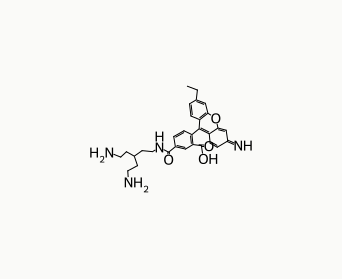 CCc1ccc2c(-c3ccc(C(=O)NCCC(CCN)CCN)cc3C(=O)O)c3ccc(=N)cc-3oc2c1